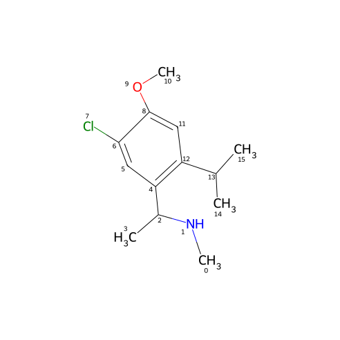 CNC(C)c1cc(Cl)c(OC)cc1C(C)C